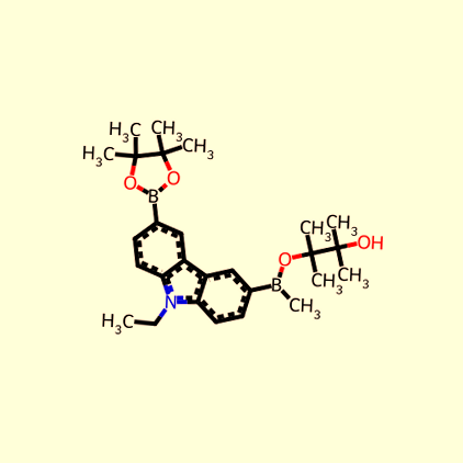 CCn1c2ccc(B(C)OC(C)(C)C(C)(C)O)cc2c2cc(B3OC(C)(C)C(C)(C)O3)ccc21